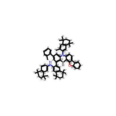 Cc1ccccc1-c1cc(-c2cc3c(cc2Nc2ccc4c(c2)C(C)(C)CCC4(C)C)C(C)(C)CCC3(C)C)c2c(c1)N(c1cc3c(cc1C)C(C)(C)CCC3(C)C)c1ccc3c(oc4ccccc43)c1B2